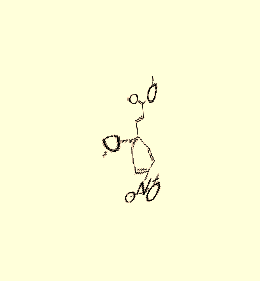 COC(=O)/C=C/c1ccc([N+](=O)[O-])cc1OC